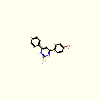 Oc1ccc(-c2cc(-c3ccccc3)nc(S)n2)cc1